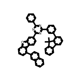 CC1(C)c2ccccc2-c2cccc(-c3cccc(-c4nc(-c5ccccc5)nc(-c5ccc6c(c5)oc5cccc(-c7ccc8ccccc8c7)c56)n4)c3)c21